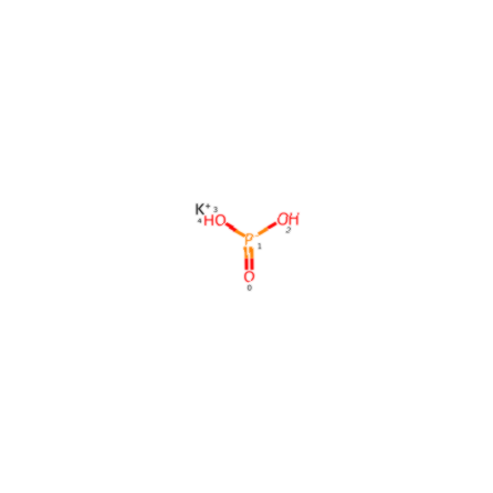 O=[P-](O)O.[K+]